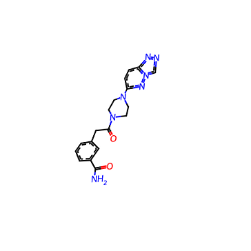 NC(=O)c1cccc(CC(=O)N2CCN(c3ccc4nncn4n3)CC2)c1